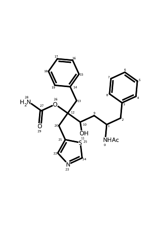 CC(=O)NC(Cc1ccccc1)CC(O)C(Cc1ccccc1)(Cc1cncs1)OC(N)=O